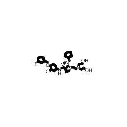 OCCN(CCO)CCS1=C2C(=C(Nc3ccc(OCc4cccc(F)c4)c(Cl)c3)N=CN2Cc2ccccc2)C=C1